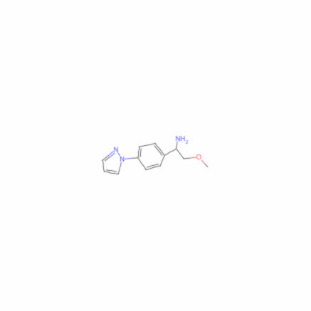 COCC(N)c1ccc(-n2cccn2)cc1